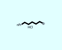 Cl.[B]CCCCCCCC